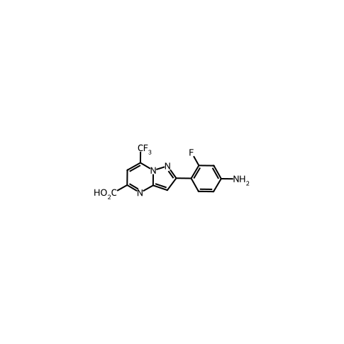 Nc1ccc(-c2cc3nc(C(=O)O)cc(C(F)(F)F)n3n2)c(F)c1